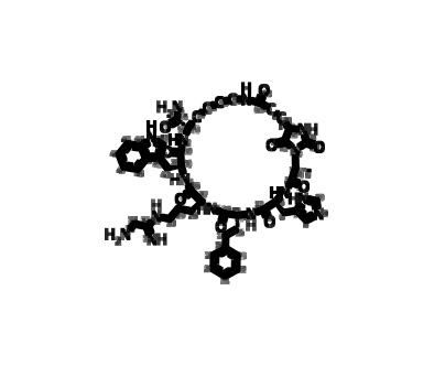 C[C@@H]1C(=O)N[C@@H](Cc2cnc[nH]2)C(=O)N[C@H](CCc2ccccc2)C(=O)N[C@@H](CCCNC(=N)CN)C(=O)N[C@@H](Cc2c[nH]c3ccccc23)C(=O)N[C@H](C(N)=O)CCCCNC(=O)CC[C@@H]2NC(=O)N1C2=O